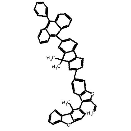 C=Cc1oc2cc(-c3ccc4c(c3)C(C)(C)c3cc(-c5c6ccccc6c(-c6ccccc6)c6ccccc56)ccc3-4)ccc2c1-c1ccc2oc3ccccc3c2c1C